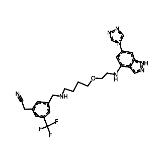 N#CCc1cc(CNCCCCOCCNc2cc(-n3cnnc3)cc3[nH]ncc23)cc(C(F)(F)F)c1